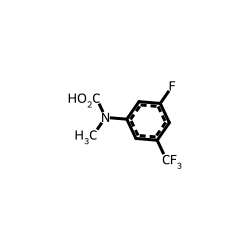 CN(C(=O)O)c1cc(F)cc(C(F)(F)F)c1